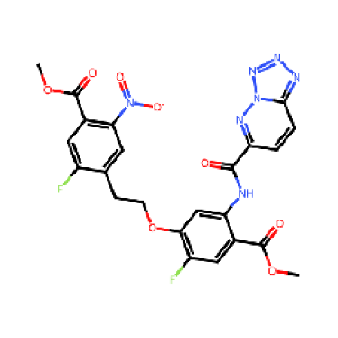 COC(=O)c1cc(F)c(OCCc2cc([N+](=O)[O-])c(C(=O)OC)cc2F)cc1NC(=O)c1ccc2nnnn2n1